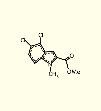 COC(=O)c1cc2c(Cl)c(Cl)ccc2n1C